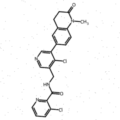 CN1C(=O)CCc2cc(-c3cncc(CNC(=O)c4ncccc4Cl)c3Cl)ccc21